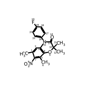 Cc1cc2c(c(C)c1[N+](=O)[O-])OC(C)(C)C(=O)N2c1ccc(F)cc1